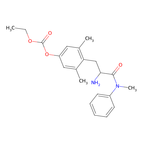 CCOC(=O)Oc1cc(C)c(CC(N)C(=O)N(C)c2ccccc2)c(C)c1